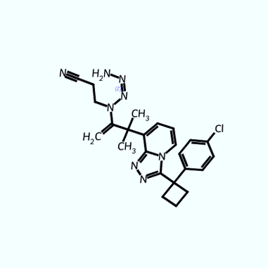 C=C(N(CCC#N)/N=N\N)C(C)(C)c1cccn2c(C3(c4ccc(Cl)cc4)CCC3)nnc12